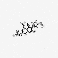 O=C(O)OC1=CN(C2CC2)c2c(cc(F)c(N3CCC(CO)C3)c2F)C1